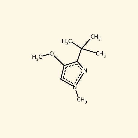 COc1cn(C)nc1C(C)(C)C